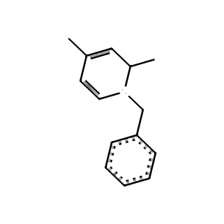 CC1=CC(C)N(Cc2ccccc2)C=C1